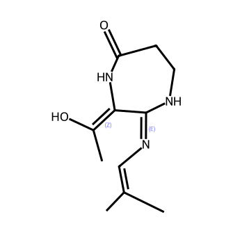 CC(C)=C/N=C1/NCCC(=O)N/C1=C(/C)O